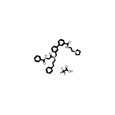 O=C(NCCN1CCCC1)c1cccc(-c2cccc(CN(CCCc3ccccc3)C(=O)CNC(=O)c3ccccc3)c2)c1.O=C(O)C(F)(F)F